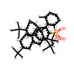 Cc1cccc(P(O)(O)(O)c2cc3ccc(C(C)(C)C)cc3cc2C(C)(C)C)c1-c1cc2ccc(C(C)(C)C)cc2cc1C(C)(C)C